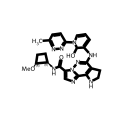 CO[C@@H]1CC[C@H]1NC(=O)c1cnc2c3c(c(NC4=CC=CN(c5ccc(C)nn5)C4O)nn12)CCN3